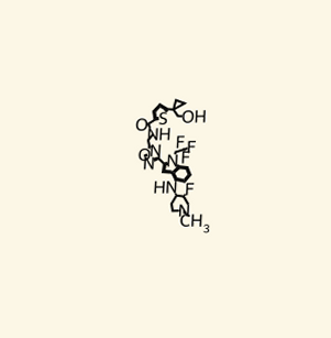 CN1CC[C@@H](Nc2cccc3c2cc(-c2noc(CNC(=O)c4ccc(C5(CO)CC5)s4)n2)n3CC(F)(F)F)[C@@H](F)C1